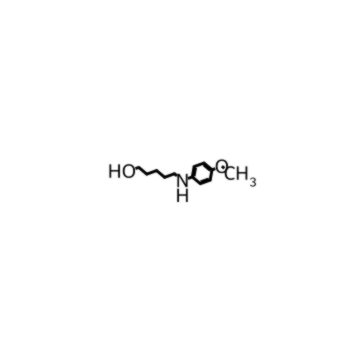 COc1ccc(NCCCCCO)cc1